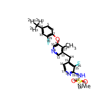 [2H]C([2H])([2H])c1ccc(Oc2cncc(Cc3ccnc(NS(=O)(=O)NC)c3F)c2C)c(F)c1